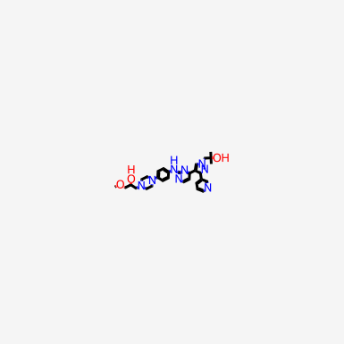 COCC(O)CN1CCN(c2ccc(Nc3nccc(-c4cn(CC(C)(C)O)nc4-c4cccnc4)n3)cc2)CC1